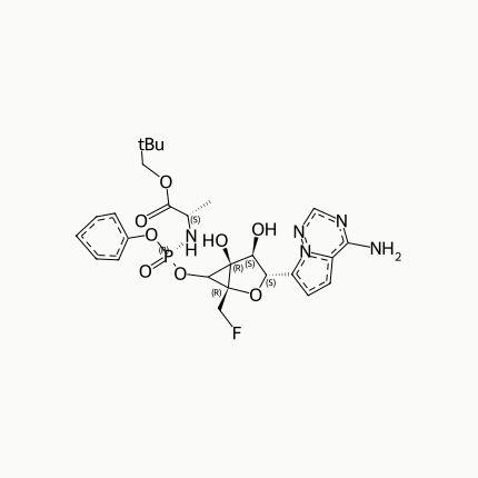 C[C@H](N[P@](=O)(Oc1ccccc1)OC1[C@@]2(CF)O[C@@H](c3ccc4c(N)ncnn34)[C@H](O)[C@@]12O)C(=O)OCC(C)(C)C